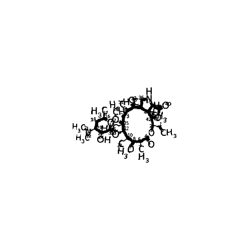 CC[C@H]1OC(=O)[C@H](C)C(=O)[C@H](C)[C@@H](O[C@@H]2O[C@H](C)C[C@H](N(C)C)[C@H]2O)[C@@](C)(OC)C[C@@H](C)C(=O)[C@]2(C)CN[C@H]3C(=O)O[C@@]1(C)[C@H]32